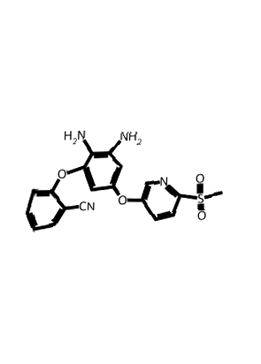 CS(=O)(=O)c1ccc(Oc2cc(N)c(N)c(Oc3ccccc3C#N)c2)cn1